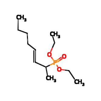 CCCC/C=C/C(C)P(=O)(OCC)OCC